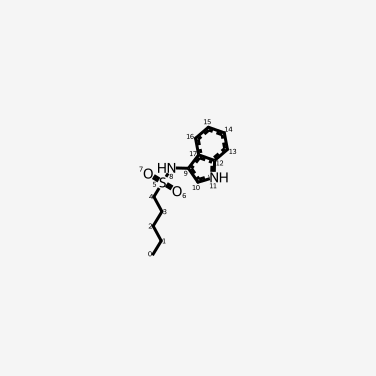 CCCCCS(=O)(=O)Nc1c[nH]c2ccccc12